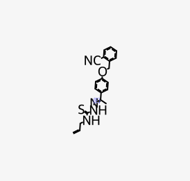 C=CCNC(=S)N/N=C(\C)c1ccc(OCc2ccccc2C#N)cc1